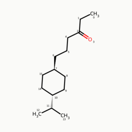 CCC(=O)CCC[C@H]1CC[C@H](C(C)C)CC1